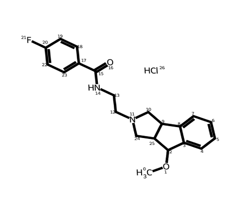 COC1c2ccccc2C2CN(CCNC(=O)c3ccc(F)cc3)CC21.Cl